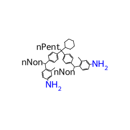 CCCCCCCCCC(c1ccc(C(CCCCC)(c2ccc(C(CCCCCCCCC)c3ccc(N)cc3C)cc2)C2CCCCC2)cc1)c1ccc(N)cc1C